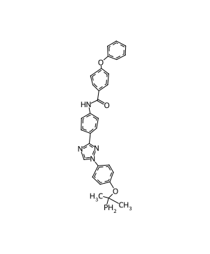 CC(C)(P)Oc1ccc(-n2cnc(-c3ccc(NC(=O)c4ccc(Oc5ccccc5)cc4)cc3)n2)cc1